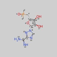 CP(C)(=O)C[C@H]1O[C@@H](n2cnc(C(=N)N)n2)[C@H](O)[C@@H]1O